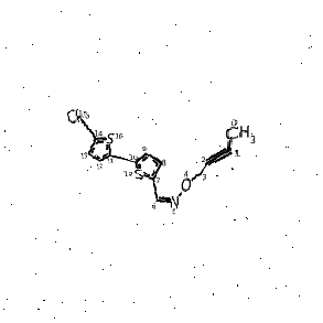 CC#CCO/N=C\c1ccc(-c2ccc(Cl)s2)s1